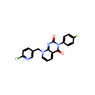 O=c1nc2n(Cc3ccc(Cl)nc3)cccc-2c(=O)n1-c1ccc(F)cc1